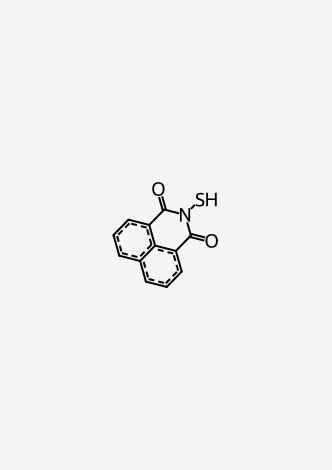 O=C1c2cccc3cccc(c23)C(=O)N1S